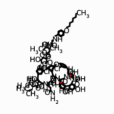 CCCCCCCCOc1ccc(CNCC(=O)N[C@@]2(C)C[C@H](O[C@H]3[C@H](Oc4c5cc6cc4Oc4ccc(cc4Cl)[C@@H](O)[C@@H](NC(=O)[C@@H](CC(C)C)NC)C(=O)N[C@@H](CCC(N)=O)C(=O)N[C@H]6C(=O)N[C@H]4C(=O)N[C@H](C(=O)N[C@@H](C(=O)O)c6cc(O)cc(O)c6-c6cc4ccc6O)[C@H](O)c4ccc(c(Cl)c4)O5)O[C@H](CO)[C@@H](O)[C@@H]3O)O[C@@H](C)[C@H]2O)cc1